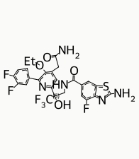 CCOc1c(CC(N)=O)cc([C@@](O)(CNC(=O)c2cc(F)c3nc(N)sc3c2)C(F)(F)F)nc1-c1ccc(F)c(F)c1